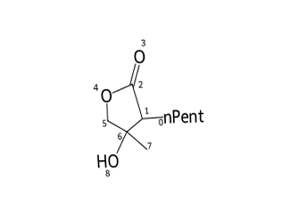 CCCCCC1C(=O)OCC1(C)O